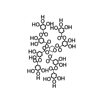 O=C(OC[C@H]1OC(OC(=O)c2cc(O)c(O)c(OC(=O)c3cc(O)c(O)c(O)c3)c2)C[C@@H](OC(=O)c2cc(O)c(O)c(OC(=O)c3cc(O)c(O)c(O)c3)c2)C1OC(=O)c1cc(O)c(O)c(OC(=O)c2cc(O)c(O)c(O)c2)c1)c1cc(O)c(O)c(OC(=O)c2cc(O)c(O)c(O)c2)c1